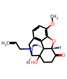 C=CCN1CC[C@]23c4c5ccc(OC)c4O[C@@H]2C(=O)CCC3(O)[C@H]1C5